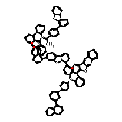 C[C@H](c1ccc(-c2cccc3c2SC2C=CC=CC32)cc1)N(c1ccccc1-c1cccc2c1oc1cc3c(-c4ccc5c(c4)sc4c(-c6ccc(N(c7ccc(-c8cccc(-c9cccc%10ccccc9%10)c8)cc7)c7ccccc7-c7cccc8c7oc7cc9ccccc9cc78)cc6)cccc45)cccc3cc12)c1cccc2ccccc12